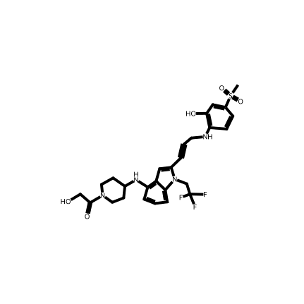 CS(=O)(=O)c1ccc(NCC#Cc2cc3c(NC4CCN(C(=O)CO)CC4)cccc3n2CC(F)(F)F)c(O)c1